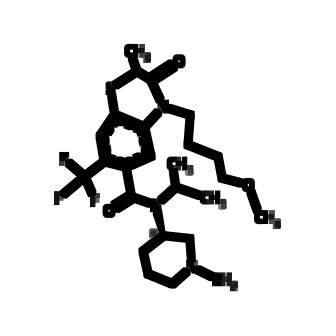 BN1CCC[C@@H](N(C(=O)c2cc3c(cc2C(F)(F)F)SC(C)C(=O)N3CCCCOC)C(C)C)C1